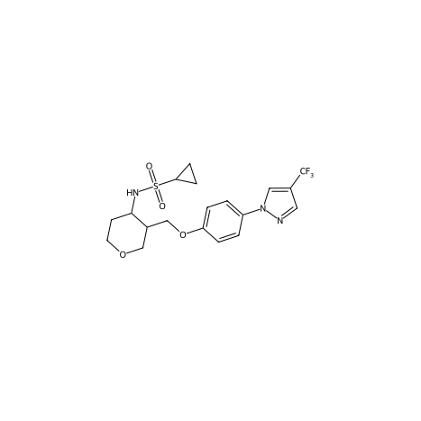 O=S(=O)(NC1CCOCC1COc1ccc(-n2cc(C(F)(F)F)cn2)cc1)C1CC1